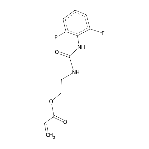 C=CC(=O)OCCNC(=O)Nc1c(F)cccc1F